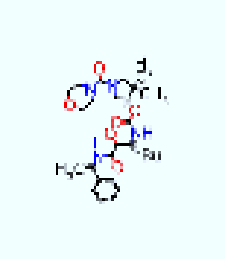 CCCC[C@H](NC(=O)O[C@@H]1CN(C(=O)N2CCOCC2)CC1(C)C)C(=O)C(=O)N[C@H](C)c1ccccc1